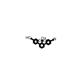 C#Cc1ccc(-c2cccc(-c3ccc(C#N)cc3)c2C(C)(C)C)cc1